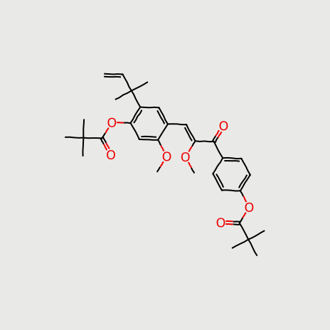 C=CC(C)(C)c1cc(C=C(OC)C(=O)c2ccc(OC(=O)C(C)(C)C)cc2)c(OC)cc1OC(=O)C(C)(C)C